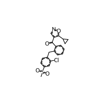 CS(=O)(=O)c1ccc(Cc2ccccc2C(=O)c2cnoc2C2CC2)c(Cl)c1